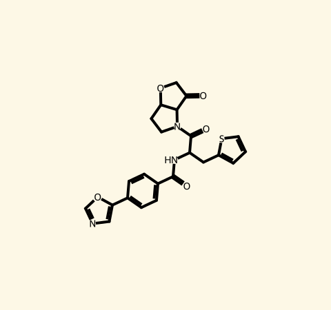 O=C(NC(Cc1cccs1)C(=O)N1CCC2OCC(=O)C21)c1ccc(-c2cnco2)cc1